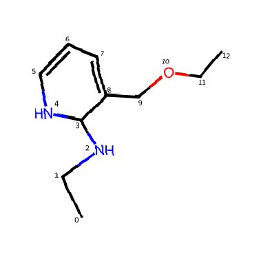 CCN[C]1NC=CC=C1COCC